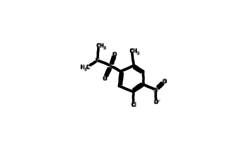 Cc1cc([N+](=O)[O-])c(Cl)cc1S(=O)(=O)N(C)C